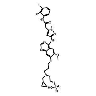 COc1cc2c(Nc3cc(CC(=O)Nc4cccc(F)c4F)[nH]n3)ncnc2cc1OCCCN(CCOP(=O)(O)O)CC1CC1